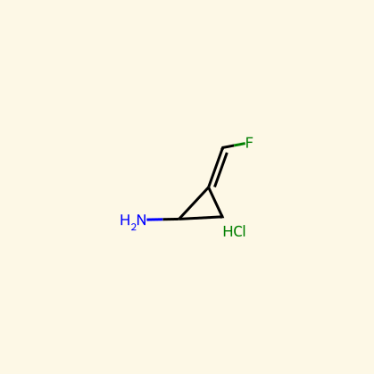 Cl.NC1CC1=CF